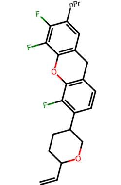 C=CC1CCC(c2ccc3c(c2F)Oc2c(cc(CCC)c(F)c2F)C3)CO1